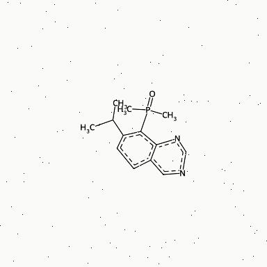 CC(C)c1ccc2cncnc2c1P(C)(C)=O